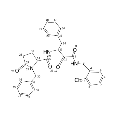 O=C(NCc1ccccc1Cl)C(=O)C(Cc1ccccc1)NC(=O)C1CCC(=O)N1Cc1ccccc1